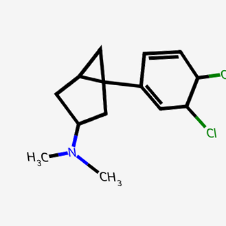 CN(C)C1CC2CC2(C2=CC(Cl)C(Cl)C=C2)C1